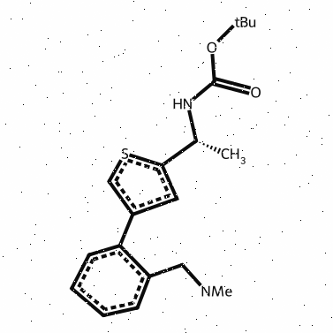 CNCc1ccccc1-c1csc([C@@H](C)NC(=O)OC(C)(C)C)c1